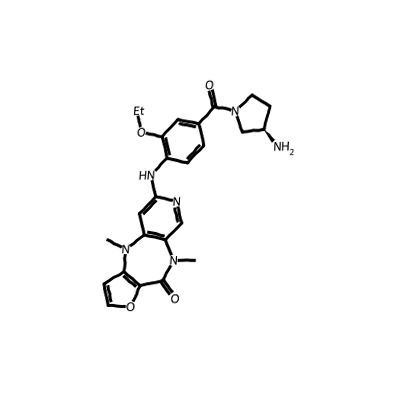 CCOc1cc(C(=O)N2CC[C@@H](N)C2)ccc1Nc1cc2c(cn1)N(C)C(=O)c1occc1N2C